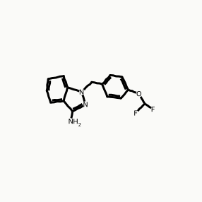 Nc1nn(Cc2ccc(OC(F)F)cc2)c2ccccc12